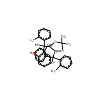 Cc1ccccc1C(O)(c1ccccc1C)C1OC(C)(C)O[C@H]1C(O)(c1ccccc1C)c1ccccc1C